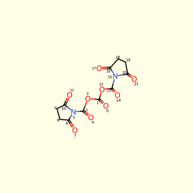 O=C(OC(=O)N1C(=O)CCC1=O)OC(=O)N1C(=O)CCC1=O